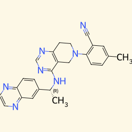 Cc1ccc(N2CCc3ncnc(N[C@H](C)c4ccc5nccnc5c4)c3C2)c(C#N)c1